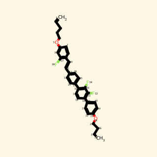 C=CCCCOc1ccc(/C=C/c2ccc(-c3ccc(-c4ccc(OCCCC)cc4)c(F)c3F)cc2)c(F)c1